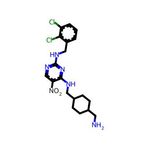 NCC1CCC(CNc2nc(NCc3cccc(Cl)c3Cl)ncc2[N+](=O)[O-])CC1